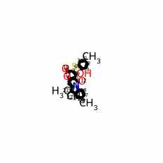 Cc1cccc(Sc2c(O)c3c(=O)n4c(cc3oc2=O)C(C)(C)c2cc(C)ccc2-4)c1